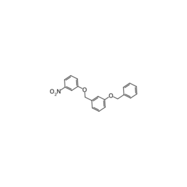 O=[N+]([O-])c1cccc(OCc2cccc(OCc3ccccc3)c2)c1